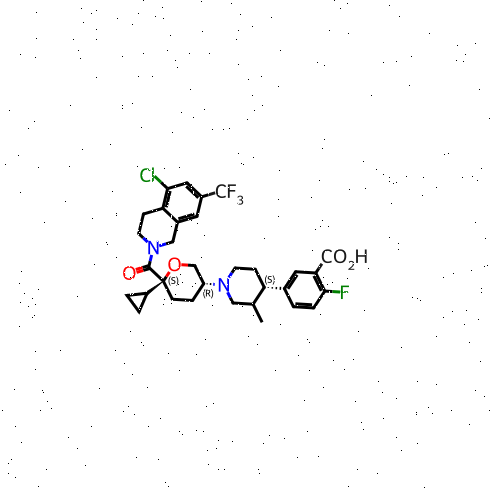 CC1CN([C@@H]2CC[C@@](C(=O)N3CCc4c(Cl)cc(C(F)(F)F)cc4C3)(C3CC3)OC2)CC[C@@H]1c1ccc(F)c(C(=O)O)c1